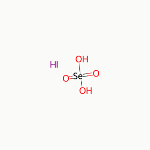 I.O=[Se](=O)(O)O